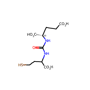 O=C(O)CC[C@H](NC(=O)NC(CCS)C(=O)O)C(=O)O